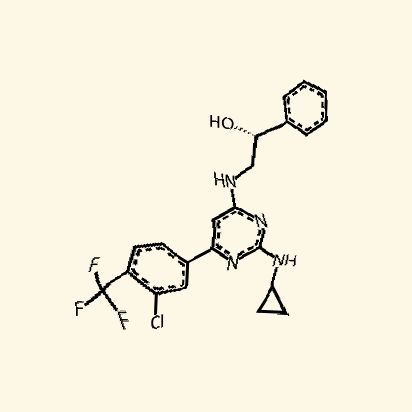 O[C@@H](CNc1cc(-c2ccc(C(F)(F)F)c(Cl)c2)nc(NC2CC2)n1)c1ccccc1